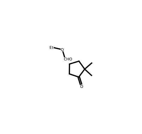 CC1(C)CCCC1=O.CCOC=O